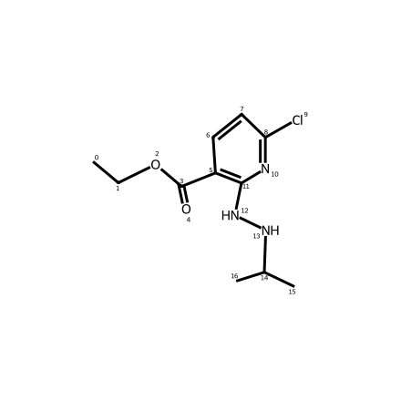 CCOC(=O)c1ccc(Cl)nc1NNC(C)C